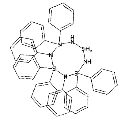 c1ccc(N2[Si](c3ccccc3)(c3ccccc3)N[SiH2]N[Si](c3ccccc3)(c3ccccc3)N(c3ccccc3)[Si]2(c2ccccc2)c2ccccc2)cc1